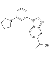 CC(O)c1ccc2c(c1)ncn2-c1cccc(N2CCCC2)c1